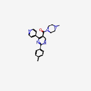 Cc1ccc(-c2ncc(C(=O)N3CCN(C)CC3)c(-c3ccncc3)n2)cc1